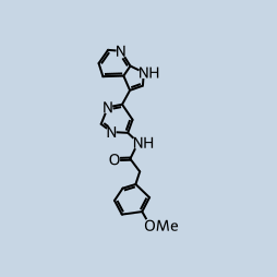 COc1cccc(CC(=O)Nc2cc(-c3c[nH]c4ncccc34)ncn2)c1